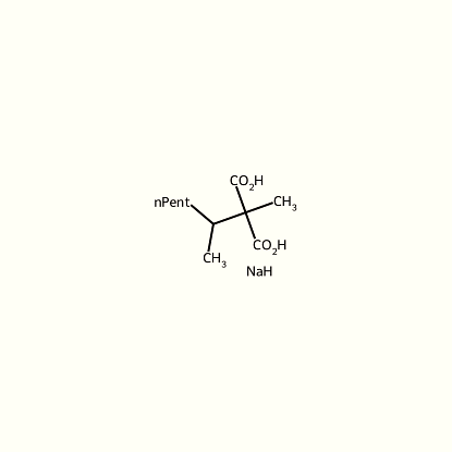 CCCCCC(C)C(C)(C(=O)O)C(=O)O.[NaH]